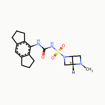 CN1CC2[C@H]1CN2S(=O)(=O)NC(=O)Nc1c2c(cc3c1CCC3)CCC2